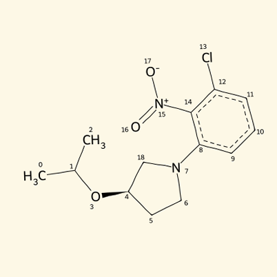 CC(C)O[C@@H]1CCN(c2cccc(Cl)c2[N+](=O)[O-])C1